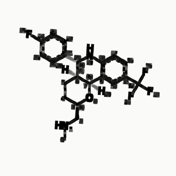 CNC[C@H]1CC[C@@H]2[C@H](O1)c1cc(C(F)(F)F)ccc1N[C@H]2c1ccc(F)cc1